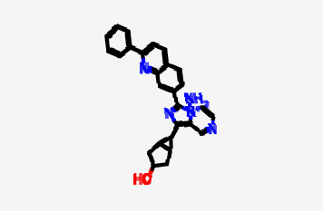 N[N+]12C=CN=CC1=C(C1C3CC(O)CC31)N=C2c1ccc2ccc(-c3ccccc3)nc2c1